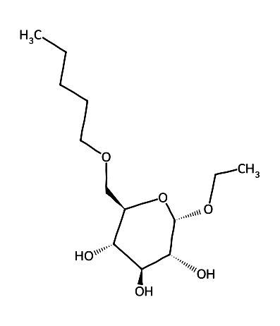 CCCCCOC[C@H]1O[C@H](OCC)[C@H](O)[C@@H](O)[C@@H]1O